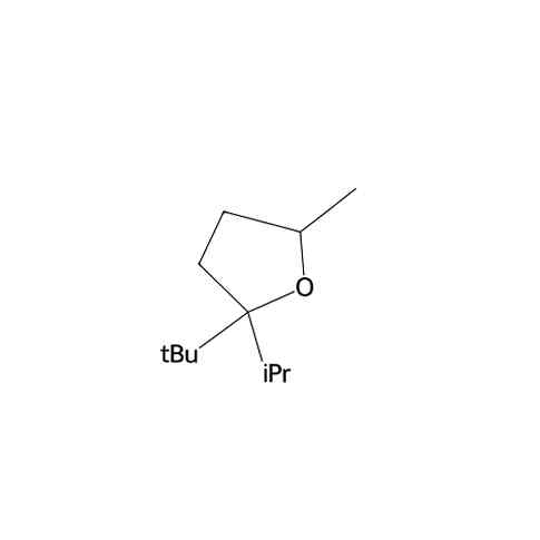 CC1CCC(C(C)C)(C(C)(C)C)O1